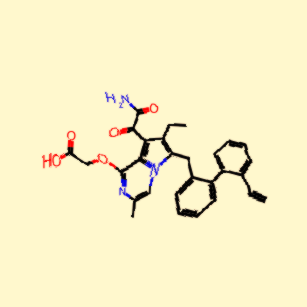 C=Cc1ccccc1-c1ccccc1Cc1c(CC)c(C(=O)C(N)=O)c2c(OCC(=O)O)nc(C)cn12